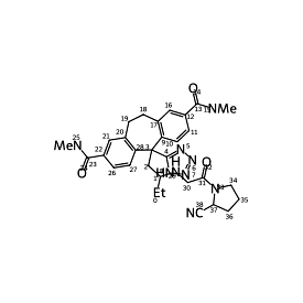 CCC(CC1(c2nnn[nH]2)c2ccc(C(=O)NC)cc2CCc2cc(C(=O)NC)ccc21)NCC(=O)N1CCCC1C#N